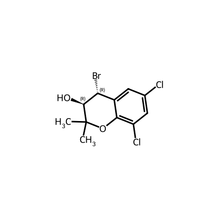 CC1(C)Oc2c(Cl)cc(Cl)cc2[C@@H](Br)[C@@H]1O